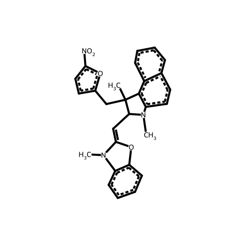 CN1/C(=C/C2N(C)c3ccc4ccccc4c3C2(C)Cc2ccc([N+](=O)[O-])o2)Oc2ccccc21